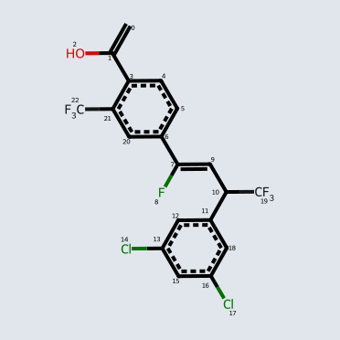 C=C(O)c1ccc(/C(F)=C/C(c2cc(Cl)cc(Cl)c2)C(F)(F)F)cc1C(F)(F)F